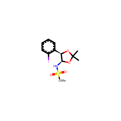 COS(=O)(=O)N[C@@H]1OC(C)(C)O[C@@H]1c1ccccc1I